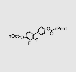 CCCCCCCCOc1ccc(-c2ccc(OC(=O)CCCCC)cc2)c(F)c1F